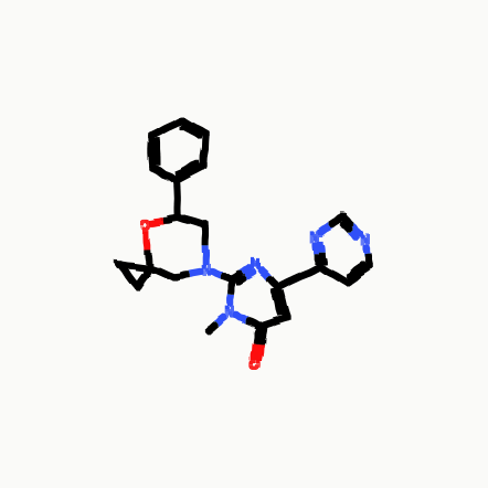 Cn1c(N2CC(c3ccccc3)OC3(CC3)C2)nc(-c2ccncn2)cc1=O